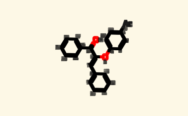 CC(=O)c1ccc(O/C(=C\c2ccccc2)C(=O)c2ccccc2)cc1